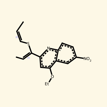 C/C=C\S/C(=C\C)c1cc(OCC)c2cc([N+](=O)[O-])ccc2n1